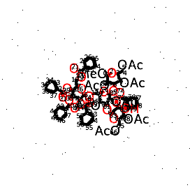 COC1OC(COC(C)=O)C(OC(C)=O)C(O[C@H]2OC(COC3OC(COC(=O)c4ccccc4)C(OC(=O)c4ccccc4)C(OC(=O)c4ccccc4)C3OC(=O)c3ccccc3)[C@@H](OC(C)=O)[C@H](OC3OC(COC(C)=O)C(OC(C)=O)C(O)C3OC(=O)c3ccccc3)C2OC(C)=O)C1OC(C)=O